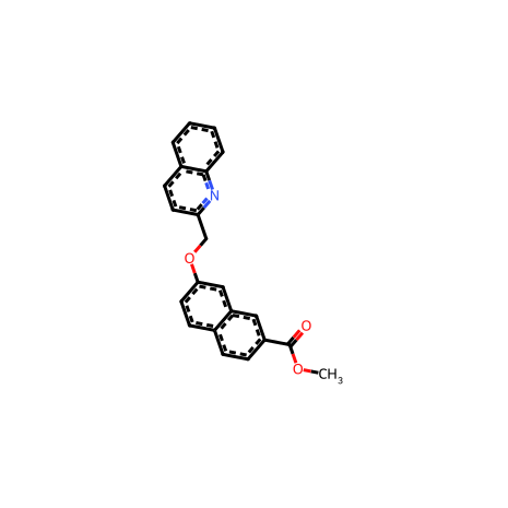 COC(=O)c1ccc2ccc(OCc3ccc4ccccc4n3)cc2c1